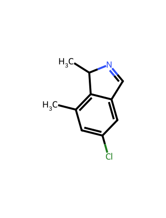 Cc1cc(Cl)cc2c1C(C)N=C2